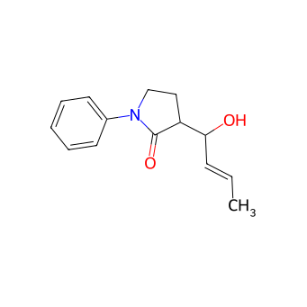 CC=CC(O)C1CCN(c2ccccc2)C1=O